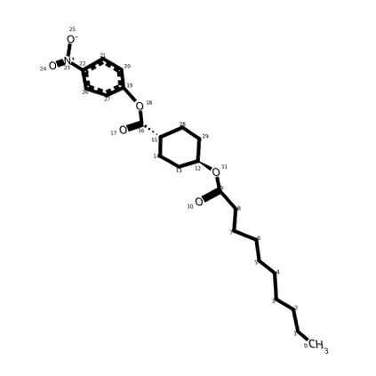 CCCCCCCCCC(=O)O[C@H]1CC[C@H](C(=O)Oc2ccc([N+](=O)[O-])cc2)CC1